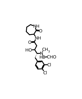 CN(BC=O)[C@H](Cc1ccc(Cl)c(Cl)c1)C(O)CC(=O)NC1CCCCNC1=O